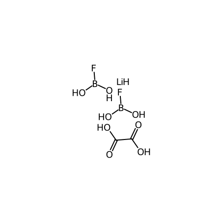 O=C(O)C(=O)O.OB(O)F.OB(O)F.[LiH]